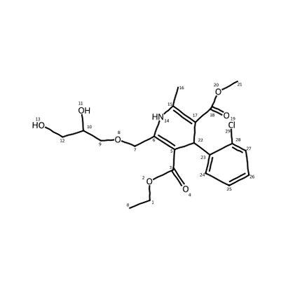 CCOC(=O)C1=C(COCC(O)CO)NC(C)=C(C(=O)OC)C1c1ccccc1Cl